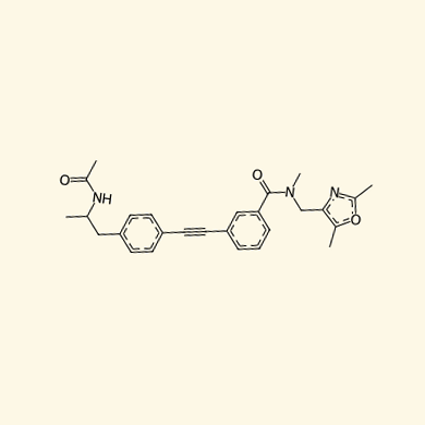 CC(=O)NC(C)Cc1ccc(C#Cc2cccc(C(=O)N(C)Cc3nc(C)oc3C)c2)cc1